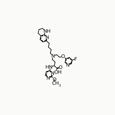 COc1nccc(NC(CCN(CCCCc2ccc3c(n2)NCCC3)CCOc2cncc(F)c2)C(=O)O)n1